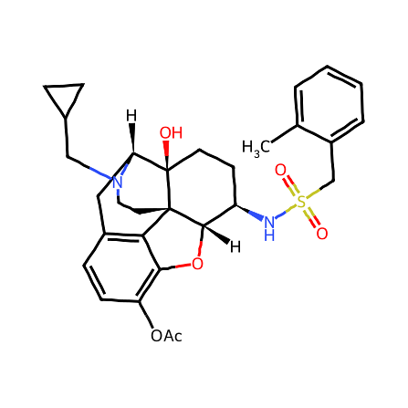 CC(=O)Oc1ccc2c3c1O[C@H]1[C@H](NS(=O)(=O)Cc4ccccc4C)CC[C@@]4(O)[C@@H](C2)N(CC2CC2)CC[C@]314